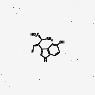 N[C@H](C(=O)O)/C(=C/F)c1c[nH]c2ccc(O)cc12